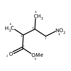 COC(=O)C(C)C(C)C[N+](=O)[O-]